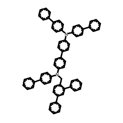 c1ccc(-c2ccc(N(Cc3ccc(-c4ccccc4)cc3-c3ccccc3)c3ccc(-c4ccc(N(c5ccc(-c6ccccc6)cc5)c5ccc(-c6ccccc6)cc5)cc4)cc3)cc2)cc1